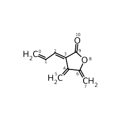 C=C/C=C1\C(=C)C(=C)OC1=O